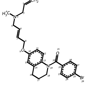 C=CCN(C)CC=CCOc1ccc2c(c1)CCCN2C(=O)c1ccc(Br)cc1